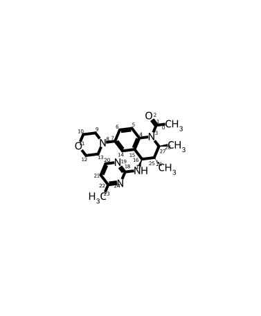 CC(=O)N1c2ccc(N3CCOCC3)cc2[C@H](Nc2nccc(C)n2)[C@@H](C)[C@@H]1C